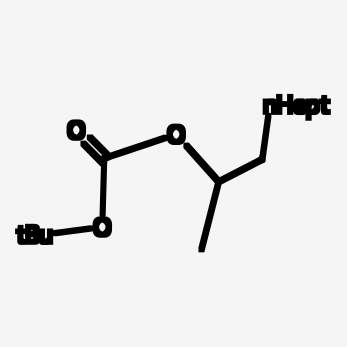 CCCCCCCCC(C)OC(=O)OC(C)(C)C